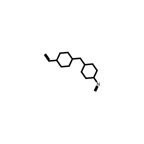 C=CC1CCC(CC2CCC(N=C)CC2)CC1